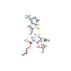 C=CCOC(=O)N1C(O[SiH](C)C)[C@@H](C(C)(C)C)C[C@H]1Cc1cn2c(Cl)ncc2s1